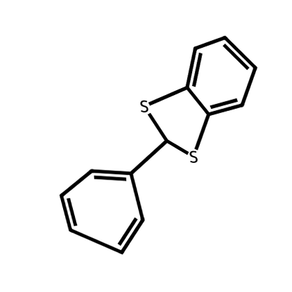 c1ccc(C2Sc3ccccc3S2)cc1